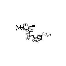 C#C[C@@H](CC)[C@H](NC(=O)C(C)(C)N(C)C)C(=O)N(C)[C@H](C[C@@H](OC(C)=O)c1nc(C(=O)O)cs1)C(C)C